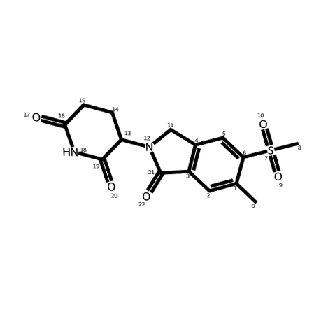 Cc1cc2c(cc1S(C)(=O)=O)CN(C1CCC(=O)NC1=O)C2=O